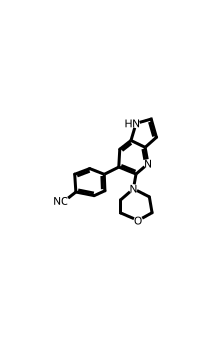 N#Cc1ccc(-c2cc3[nH]ccc3nc2N2CCOCC2)cc1